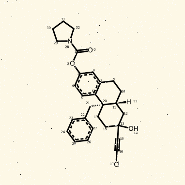 O=C(Oc1ccc2c(c1)CC[C@@H]1CC(O)(C#CCl)CC[C@@]21Cc1ccccc1)N1CCCC1